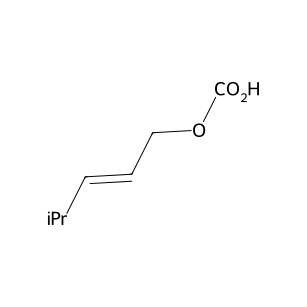 CC(C)C=CCOC(=O)O